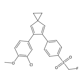 COc1ccc(C2=CC3(C=C2c2ccc(S(=O)(=O)CF)cc2)CC3)cc1Cl